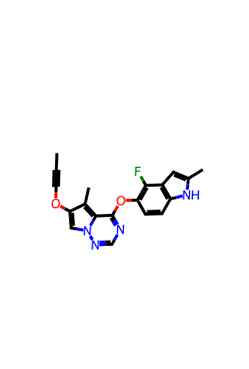 CC#COc1cn2ncnc(Oc3ccc4[nH]c(C)cc4c3F)c2c1C